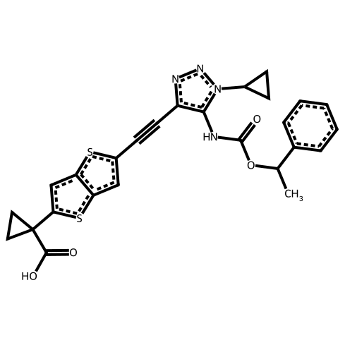 CC(OC(=O)Nc1c(C#Cc2cc3sc(C4(C(=O)O)CC4)cc3s2)nnn1C1CC1)c1ccccc1